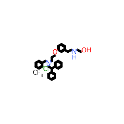 OCCNCCc1cccc(OCCCN(Cc2cccc(C(F)(F)F)c2Cl)CC(c2ccccc2)c2ccccc2)c1